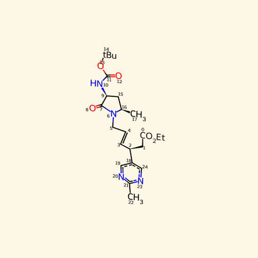 CCOC(=O)C[C@H](C=CCN1C(=O)[C@@H](NC(=O)OC(C)(C)C)C[C@H]1C)c1cnc(C)nc1